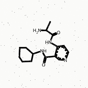 CC(N)C(=O)Nc1ccncc1C(=O)NC1CCCCC1